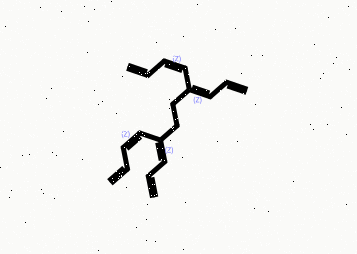 C=C/C=C\C(=C/C=C)CCC(/C=C\C=C)=C/C=C